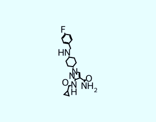 NC(=O)c1cn([C@H]2CC[C@@H](NCc3ccc(F)cc3)CC2)nc1NC(=O)C1CC1